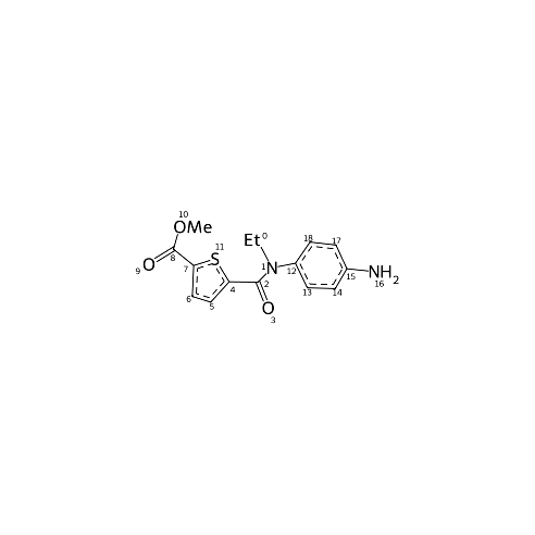 CCN(C(=O)c1ccc(C(=O)OC)s1)c1ccc(N)cc1